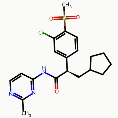 Cc1nccc(NC(=O)[C@H](CC2CCCC2)c2ccc(S(C)(=O)=O)c(Cl)c2)n1